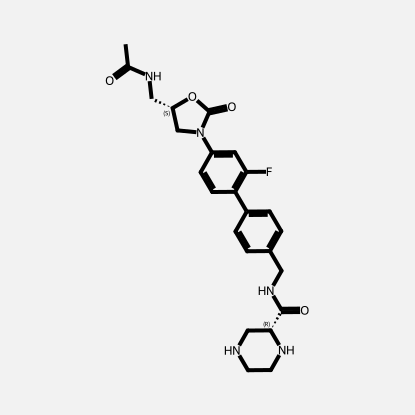 CC(=O)NC[C@H]1CN(c2ccc(-c3ccc(CNC(=O)[C@H]4CNCCN4)cc3)c(F)c2)C(=O)O1